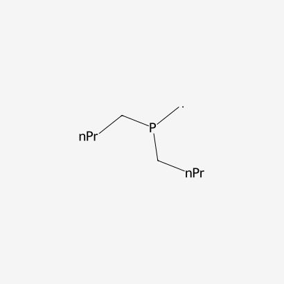 [CH2]P(CCCC)CCCC